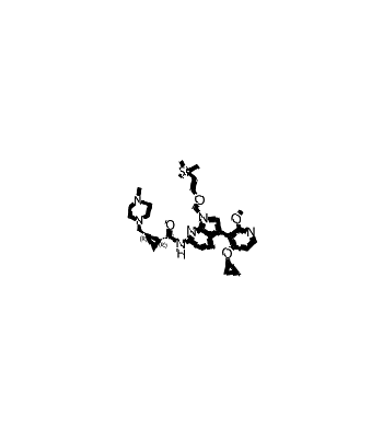 COc1nccc(OC2CC2)c1-c1cn(COCC[Si](C)(C)C)c2nc(NC(=O)[C@@H]3C[C@H]3CN3CCN(C)CC3)ccc12